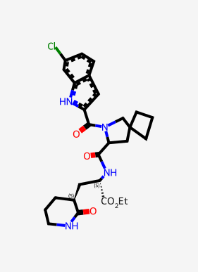 CCOC(=O)[C@H](C[C@@H]1CCCNC1=O)NC(=O)C1CC2(CCC2)CN1C(=O)c1cc2ccc(Cl)cc2[nH]1